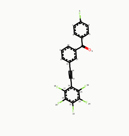 O=C(c1ccc(F)cc1)c1cccc(C#Cc2c(F)c(F)c(F)c(F)c2F)c1